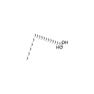 C=CC.C=CC.C=CC.C=CC.C=CC.C=CC.C=CC.C=CC.C=CC.C=CC.C=CC.C=CC.C=CC.C=CC.C=CC.C=CC.C=CC.OCCO